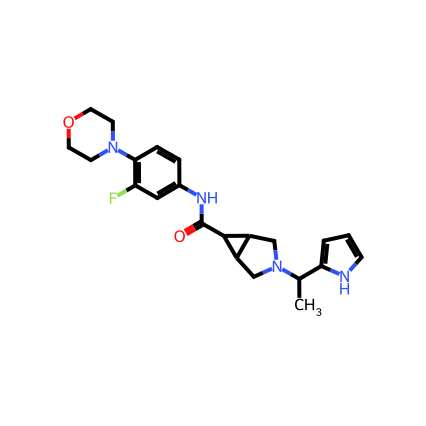 CC(c1ccc[nH]1)N1CC2C(C1)C2C(=O)Nc1ccc(N2CCOCC2)c(F)c1